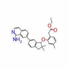 CCOC(=O)Cc1ccc(C)cc1OC1c2cc(-c3ccc4ccnc(N)c4c3)ccc2CC1(C)C